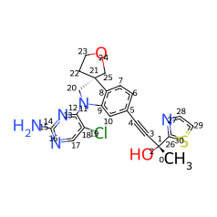 C[C@@](O)(C#Cc1ccc2c(c1)N(c1nc(N)ncc1Cl)C[C@@]21CCOC1)c1nccs1